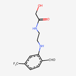 O=Cc1ccc(C(F)(F)F)cc1NCCNC(=O)CO